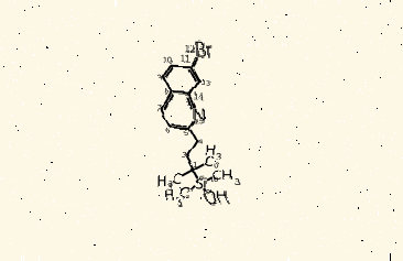 CC(C)(CCc1ccc2ccc(Br)cc2n1)[Si](C)(C)O